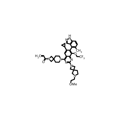 C=CC(=O)N1CC2(CCN(c3nc(N4CC5(CCN(CCOC)C5)C4)nc4c(OCC(F)(F)F)c(-c5c(C)ccc6[nH]ncc56)c(C5CC5)cc34)CC2)C1